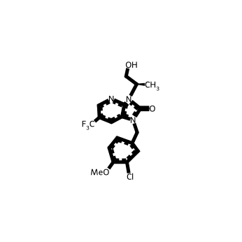 COc1ccc(Cn2c(=O)n([C@H](C)CO)c3ncc(C(F)(F)F)cc32)cc1Cl